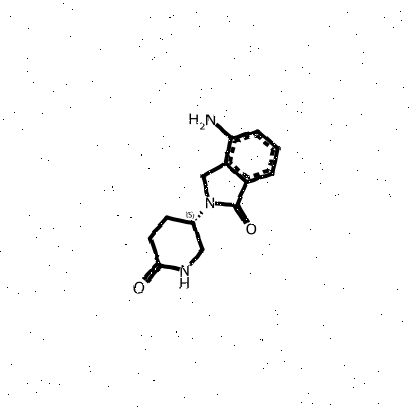 Nc1cccc2c1CN([C@H]1CCC(=O)NC1)C2=O